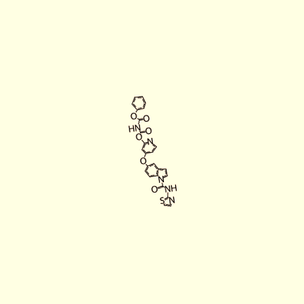 O=C(NC(=O)Oc1cc(Oc2ccc3c(ccn3C(=O)Nc3nccs3)c2)ccn1)Oc1ccccc1